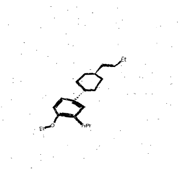 CCC=C[C@H]1CC[C@H](c2ccc(OCC)c(CCC)c2)CC1